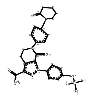 [2H][13C]([2H])([2H])Oc1ccc(-n2nc(C(N)=O)c3c2C(=O)N(c2ccc(N4CCCCC4=O)cc2)CC3)cc1